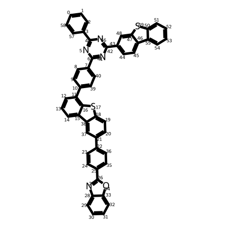 c1ccc(-c2nc(-c3ccc(-c4cccc5c4sc4ccc(-c6ccc(-c7nc8ccccc8o7)cc6)cc45)cc3)nc(-c3ccc4c(c3)sc3ccccc34)n2)cc1